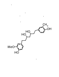 COc1cc(CCC(O)CC(O)CCc2ccc(O)c(C)c2)ccc1O